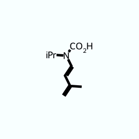 C=C(C)C=CN(C(=O)O)C(C)C